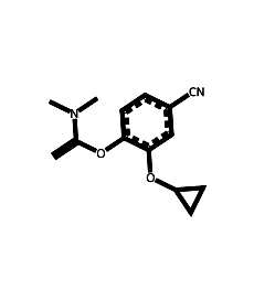 C=C(Oc1ccc(C#N)cc1OC1CC1)N(C)C